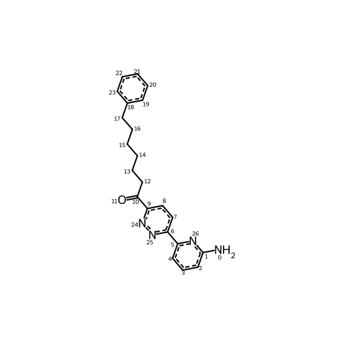 Nc1cccc(-c2ccc(C(=O)CCCCCCc3ccccc3)nn2)n1